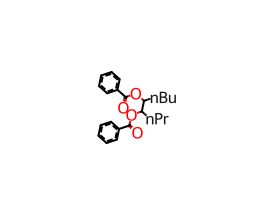 CCCCC(OC(=O)c1ccccc1)C(CCC)OC(=O)c1ccccc1